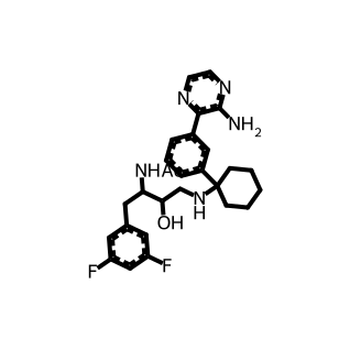 CC(=O)NC(Cc1cc(F)cc(F)c1)C(O)CNC1(c2cccc(-c3nccnc3N)c2)CCCCC1